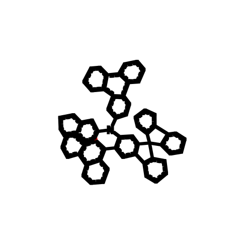 c1ccc2c(c1)-c1ccccc1C21c2ccccc2-c2cc(-c3cc4ccccc4c4ccccc34)c(N(c3ccc4ccccc4c3)c3ccc4c5ccccc5c5ccccc5c4c3)cc21